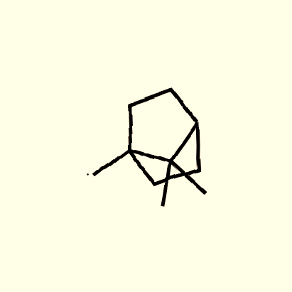 [CH2]C12CCC(CC1)C2(C)C